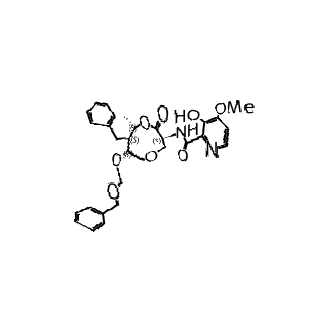 COc1ccnc(C(=O)N[C@H]2COC[C@H](OCOCc3ccccc3)[C@@H](Cc3ccccc3)[C@H](C)OC2=O)c1O